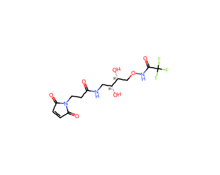 O=C(CCN1C(=O)C=CC1=O)NC[C@@H](O)[C@H](O)CONC(=O)C(F)(F)F